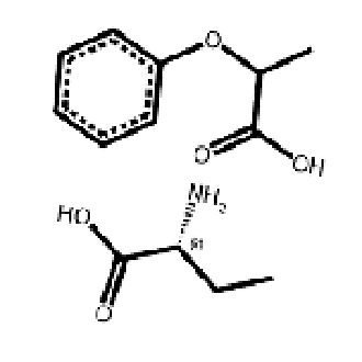 CC(Oc1ccccc1)C(=O)O.CC[C@@H](N)C(=O)O